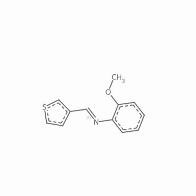 COc1ccccc1/N=C/c1ccsc1